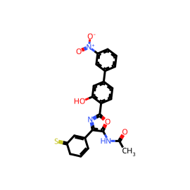 CC(=O)Nc1oc(-c2ccc(-c3cccc([N+](=O)[O-])c3)cc2O)nc1C1=CC(=S)CC=C1